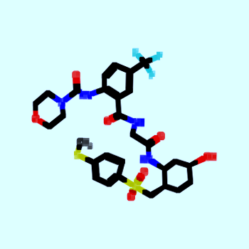 CSc1ccc(S(=O)(=O)C[C@@H]2CC[C@H](O)C[C@@H]2NC(=O)CNC(=O)c2cc(C(F)(F)F)ccc2NC(=O)N2CCOCC2)cc1